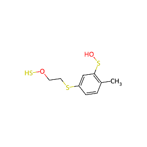 Cc1ccc(SCCOS)cc1SO